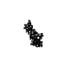 CCOC(=O)C1(c2ncc(-c3cnc4[nH]c5c(N(CC)C(O)OC(C)(C)C)cc(F)cc5c4c3N(C)C)cn2)CC1